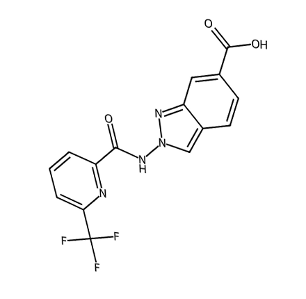 O=C(O)c1ccc2cn(NC(=O)c3cccc(C(F)(F)F)n3)nc2c1